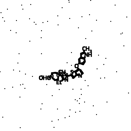 CCc1nc(-c2cc3nccc(Oc4ccc5[nH]c(C)cc5c4)c3s2)sc1[N+]1(C)CCN(C=O)CC1